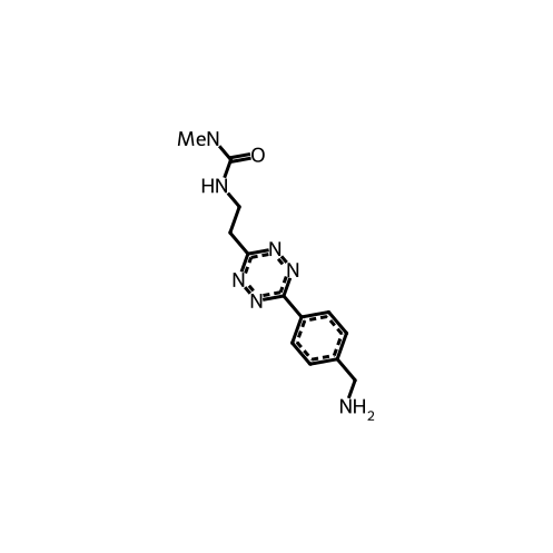 CNC(=O)NCCc1nnc(-c2ccc(CN)cc2)nn1